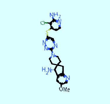 COc1cnc2c(c1)[C@H](N)C1(CCN(c3ncc(Sc4ccnc(N)c4Cl)nn3)CC1)C2